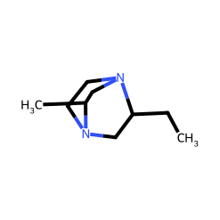 CCC1CN2CCN1CC2C